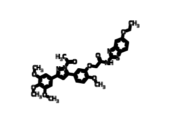 CCOc1ccc2sc(NC(=O)COc3cc(-c4cc(-c5cc(OC)c(OC)c(OC)c5)nn4C(C)=O)ccc3OC)nc2c1